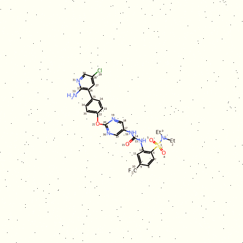 CCN(CC)S(=O)(=O)c1ccc(C(F)(F)F)cc1NC(=O)Nc1cnc(Oc2ccc(-c3cc(Cl)cnc3N)cc2)nc1